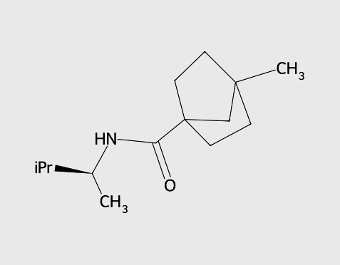 CC(C)[C@H](C)NC(=O)C12CCC(C)(CC1)C2